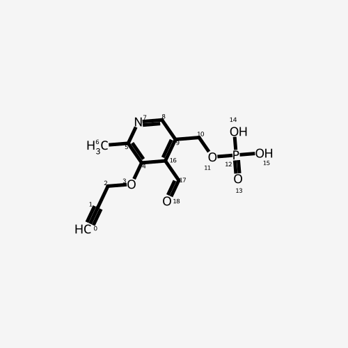 C#CCOc1c(C)ncc(COP(=O)(O)O)c1C=O